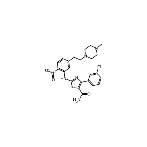 CN1CCN(CCc2ccc([N+](=O)[O-])c(Nc3nc(-c4cccc(Cl)c4)c(C(N)=O)s3)c2)CC1